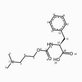 CN(C)CCCOC(=O)N[C@@H](Cc1ccccc1)C(=O)O